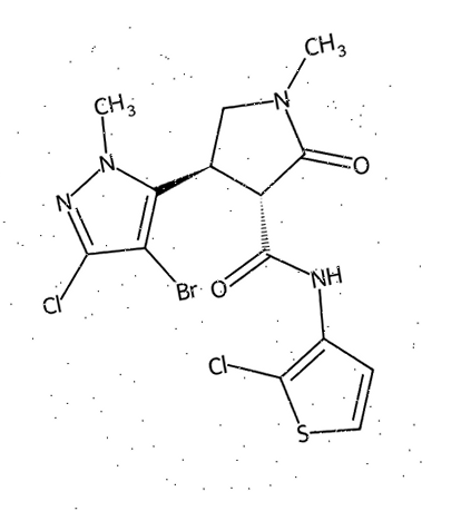 CN1C[C@H](c2c(Br)c(Cl)nn2C)[C@@H](C(=O)Nc2ccsc2Cl)C1=O